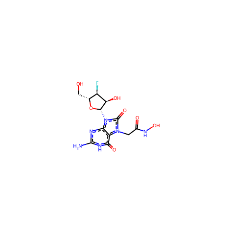 Nc1nc2c(c(=O)[nH]1)n(CC(=O)NO)c(=O)n2[C@@H]1O[C@H](CO)[C@@H](F)[C@H]1O